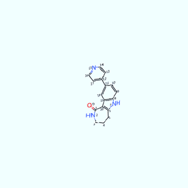 O=C1NCCCc2[nH]c3ccc(-c4ccncc4)cc3c21